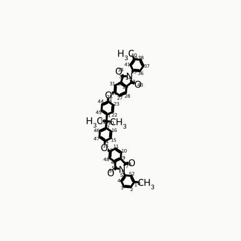 Cc1cccc(N2C(=O)c3ccc(Oc4ccc(C(C)(C)c5ccc(Oc6ccc7c(c6)C(=O)N(c6cccc(C)c6)C7=O)cc5)cc4)cc3C2=O)c1